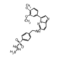 BBNS(=O)(=O)c1ccc(CNc2ccc3ncc(-c4ccc(OC)c(OC)c4)n3n2)cc1